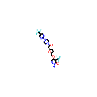 O=C(C[C@H]1CC[C@@H](COc2cn[nH]c(=O)c2C(F)(F)F)O1)N1CCN(c2ncc(C(F)(F)F)cn2)CC1